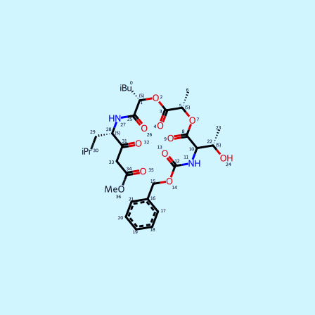 CCC(C)[C@H](OC(=O)[C@H](C)OC(=O)C(NC(=O)OCc1ccccc1)[C@H](C)O)C(=O)N[C@@H](CC(C)C)C(=O)CC(=O)OC